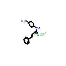 Cl.Cl.NC1CCC(NC2CC2/C=C/c2ccccc2)CC1